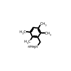 CCCCCCC[CH]c1c(C)c(C)cc(C)c1C